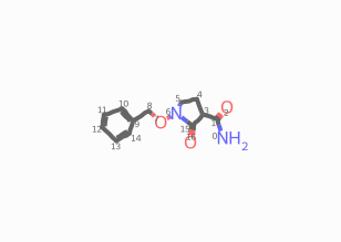 NC(=O)C1CCN(OCc2ccccc2)C1=O